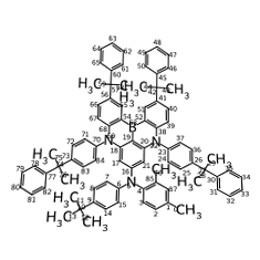 Cc1ccc(N(c2ccc(C(C)(C)C)cc2)c2cc3c4c(c2)N(c2ccc(C(C)(C)c5ccccc5)cc2)c2ccc(C(C)(C)c5ccccc5)cc2B4c2cc(C(C)(C)c4ccccc4)ccc2N3c2ccc(C(C)(C)c3ccccc3)cc2)c(C)c1